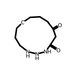 O=C1CCCCCCCNNNC(=O)C1